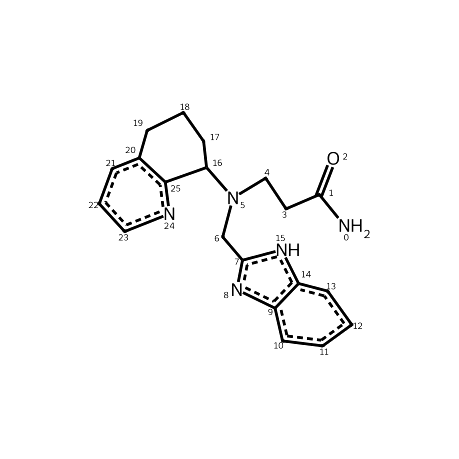 NC(=O)CCN(Cc1nc2ccccc2[nH]1)C1CCCc2cccnc21